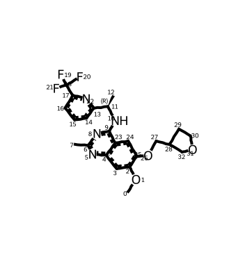 COc1cc2nc(C)nc(N[C@H](C)c3cccc(C(F)(F)F)n3)c2cc1OCC1CCOC1